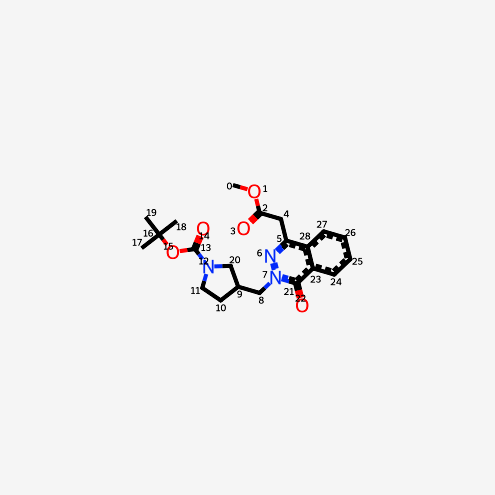 COC(=O)Cc1nn(CC2CCN(C(=O)OC(C)(C)C)C2)c(=O)c2ccccc12